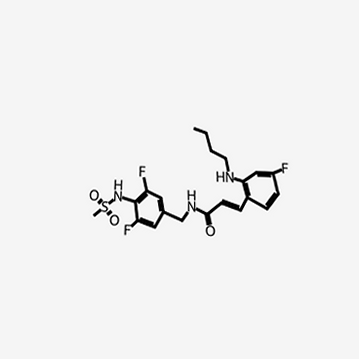 CCCCNc1cc(F)ccc1C=CC(=O)NCc1cc(F)c(NS(C)(=O)=O)c(F)c1